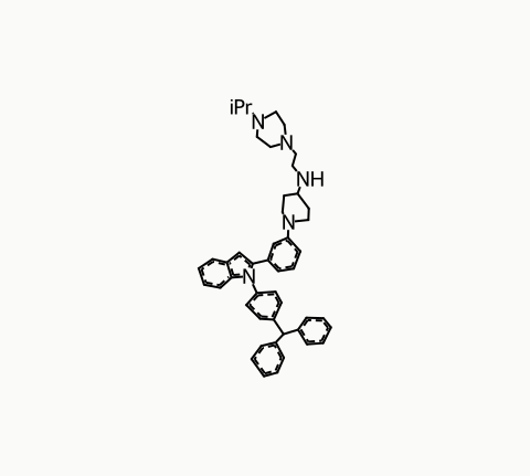 CC(C)N1CCN(CCNC2CCN(c3cccc(-c4cc5ccccc5n4-c4ccc(C(c5ccccc5)c5ccccc5)cc4)c3)CC2)CC1